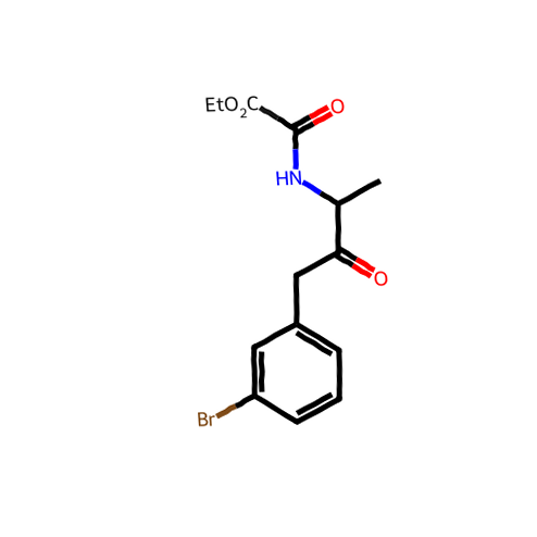 CCOC(=O)C(=O)NC(C)C(=O)Cc1cccc(Br)c1